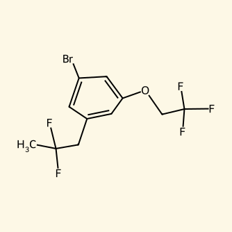 CC(F)(F)Cc1cc(Br)cc(OCC(F)(F)F)c1